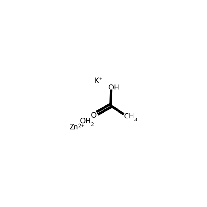 CC(=O)O.O.[K+].[Zn+2]